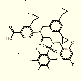 O=C(O)c1ccc(N(Cc2cc(C3CC3)cc(C3CC3)c2)C(=O)CN(Cc2ccc(F)cc2Cl)S(=O)(=O)c2c(F)c(F)c(F)c(F)c2F)c(C2CC2)c1